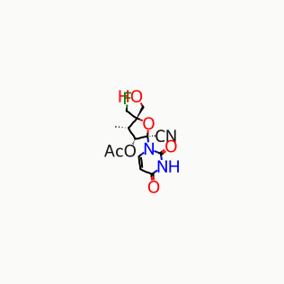 CC(=O)O[C@@H]1[C@H](C)[C@](CO)(CF)O[C@@]1(C#N)n1ccc(=O)[nH]c1=O